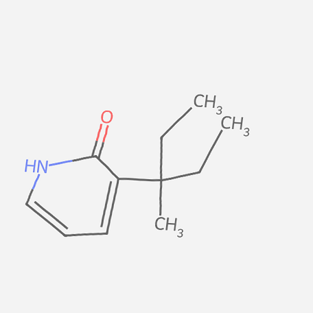 CCC(C)(CC)c1ccc[nH]c1=O